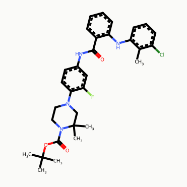 Cc1c(Cl)cccc1Nc1ccccc1C(=O)Nc1ccc(N2CCN(C(=O)OC(C)(C)C)C(C)(C)C2)c(F)c1